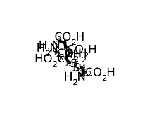 NCC(=O)O.N[C@@H](CCC(=O)O)C(=O)O.N[C@@H](CSSC[C@H](N)C(=O)O)C(=O)O